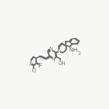 N[C@@H]1c2ccccc2CC12CCN(c1ncc(/C=C/c3ccnc(Cl)c3F)nc1CO)CC2